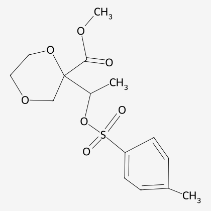 COC(=O)C1(C(C)OS(=O)(=O)c2ccc(C)cc2)COCCO1